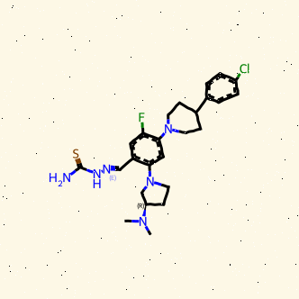 CN(C)[C@@H]1CCN(c2cc(N3CCC(c4ccc(Cl)cc4)CC3)c(F)cc2/C=N/NC(N)=S)C1